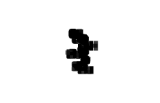 Cn1c(=O)oc2cc(Nc3cc([C@H]4CC[C@@H](O[Si](C)(C)C(C)(C)C)C4)n(C(C)(C)C)n3)ccc21